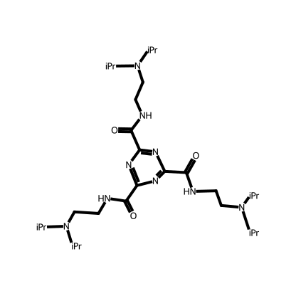 CC(C)N(CCNC(=O)c1nc(C(=O)NCCN(C(C)C)C(C)C)nc(C(=O)NCCN(C(C)C)C(C)C)n1)C(C)C